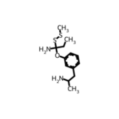 CCC(N)(Oc1cccc(CC(C)N)c1)SSC